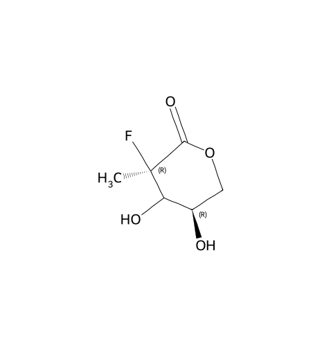 C[C@]1(F)C(=O)OC[C@@H](O)C1O